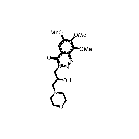 COc1cc2c(=O)n(CC(O)CN3CCOCC3)nnc2c(OC)c1OC